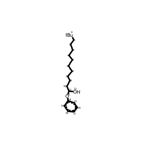 CC(C)(C)CCCCCCCCCCC(O)Oc1ccccc1